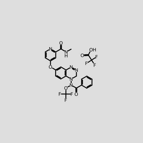 CNC(=O)c1cc(Oc2ccc3c(c2)N=NCN3N(OC(F)(F)F)C(=O)c2ccccc2)ccn1.O=C(O)C(F)(F)F